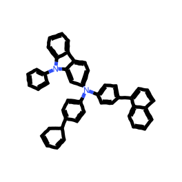 C1=CCC(c2ccc(N(c3ccc(-c4cccc5ccccc45)cc3)c3ccc4c5ccccc5n(-c5ccccc5)c4c3)cc2)C=C1